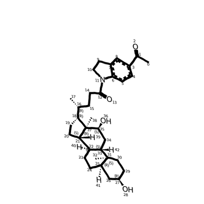 CC(=O)c1ccc2c(c1)CCN2C(=O)CC[C@@H](C)[C@H]1CC[C@H]2[C@@H]3CC[C@@H]4C[C@H](O)CC[C@]4(C)[C@H]3C[C@H](O)[C@]12C